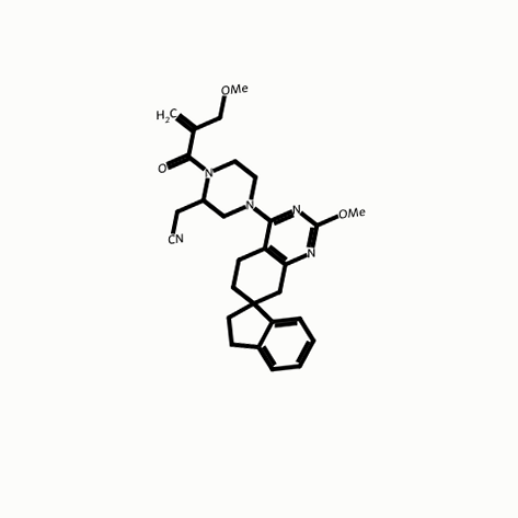 C=C(COC)C(=O)N1CCN(c2nc(OC)nc3c2CCC2(CCc4ccccc42)C3)CC1CC#N